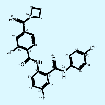 N=C(c1ccc(C(=O)Nc2ccc(F)cc2C(=O)Nc2ccc(Cl)cc2)c(F)c1)N1CCC1